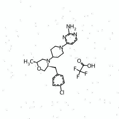 C[C@H]1CN(C2CCN(c3ccnc(N)n3)CC2)[C@@H](Cc2ccc(Cl)cc2)CO1.O=C(O)C(F)(F)F